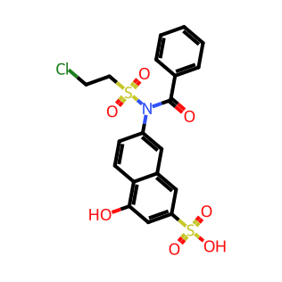 O=C(c1ccccc1)N(c1ccc2c(O)cc(S(=O)(=O)O)cc2c1)S(=O)(=O)CCCl